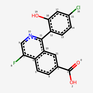 O=C(O)c1ccc2c(F)cnc(-c3ccc(Cl)cc3O)c2c1